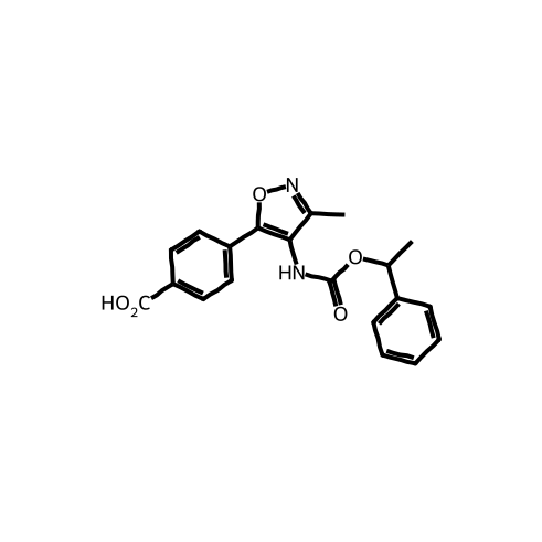 Cc1noc(-c2ccc(C(=O)O)cc2)c1NC(=O)OC(C)c1ccccc1